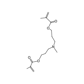 C=C(C)C(=O)OCCCN(C)CCCOC(=O)C(=C)C